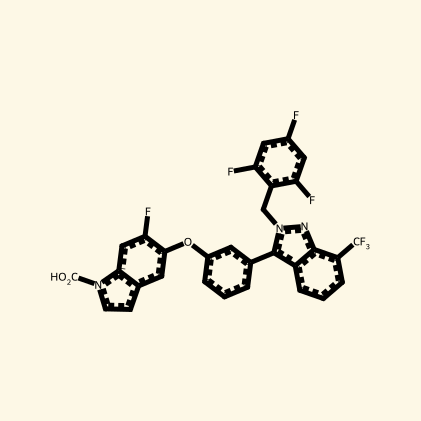 O=C(O)n1ccc2cc(Oc3cccc(-c4c5cccc(C(F)(F)F)c5nn4Cc4c(F)cc(F)cc4F)c3)c(F)cc21